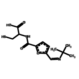 CC(C)(C)/N=C\c1ccc(C(=O)NC(CS)C(=O)O)o1